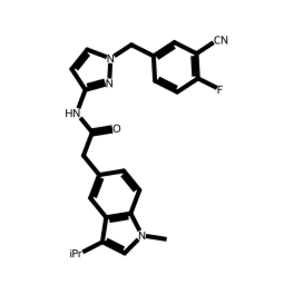 CC(C)c1cn(C)c2ccc(CC(=O)Nc3ccn(Cc4ccc(F)c(C#N)c4)n3)cc12